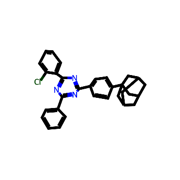 Clc1ccccc1-c1nc(-c2ccccc2)nc(-c2ccc(C34CC5CC(CC(C5)C3)C4)cc2)n1